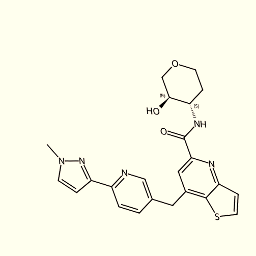 Cn1ccc(-c2ccc(Cc3cc(C(=O)N[C@H]4CCOC[C@@H]4O)nc4ccsc34)cn2)n1